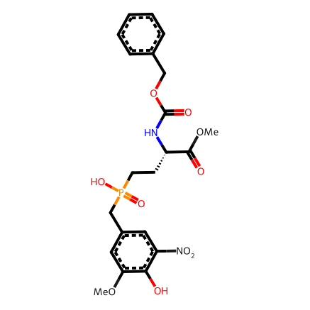 COC(=O)[C@H](CCP(=O)(O)Cc1cc(OC)c(O)c([N+](=O)[O-])c1)NC(=O)OCc1ccccc1